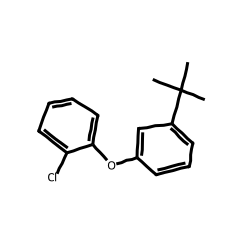 CC(C)(C)c1cccc(Oc2ccccc2Cl)c1